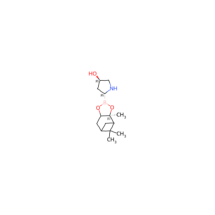 CC1(C)C2CC3OB([C@@H]4C[C@@H](O)CN4)O[C@@]3(C)C1C2